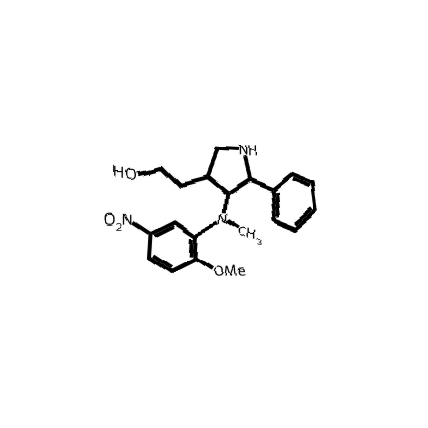 COc1ccc([N+](=O)[O-])cc1N(C)C1C(CCO)CNC1c1ccccc1